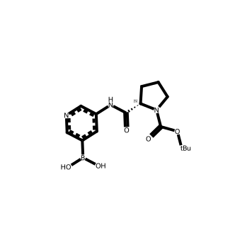 CC(C)(C)OC(=O)N1CCC[C@H]1C(=O)Nc1cncc(B(O)O)c1